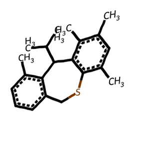 Cc1cc(C)c2c(c1C)C(C(C)C)c1c(C)cccc1CS2